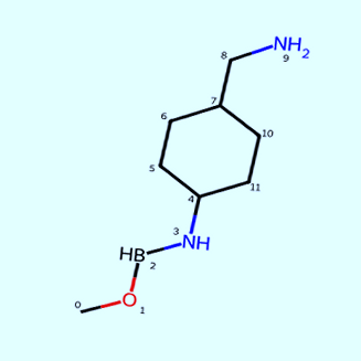 COBNC1CCC(CN)CC1